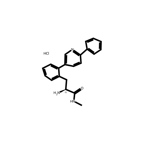 CNC(=O)[C@@H](N)Cc1ccccc1-c1ccc(-c2ccccc2)nc1.Cl